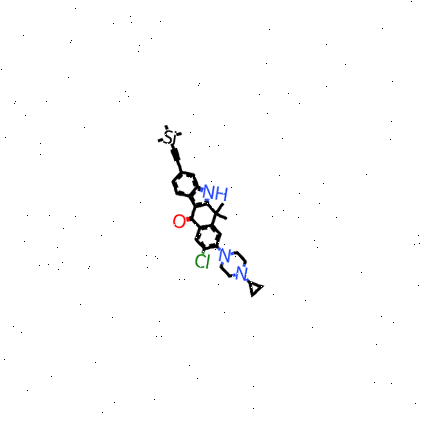 CC1(C)c2cc(N3CCN(C4CC4)CC3)c(Cl)cc2C(=O)c2c1[nH]c1cc(C#C[Si](C)(C)C)ccc21